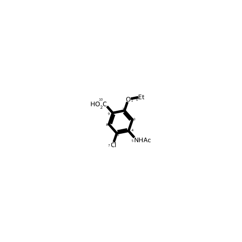 CCOc1cc(NC(C)=O)c(Cl)cc1C(=O)O